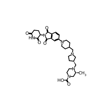 C[C@H]1CN(C(=O)O)CCN1C[C@H]1CCN(CC2CCN(c3ccc4c(c3)C(=O)N(C3CCC(=O)NC3=O)C4=O)CC2)C1